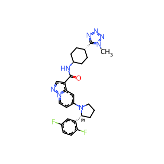 Cn1nnnc1[C@H]1CC[C@H](NC(=O)c2cnn3ccc(N4CCC[C@@H]4c4cc(F)ccc4F)cc23)CC1